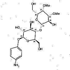 CO[C@@H]1[C@@H](O)[C@H](O[C@H]2[C@H](O)[C@@H](O)[C@H](Oc3ccc(N)cc3)O[C@@H]2CO)O[C@H](CO)[C@@H]1OC